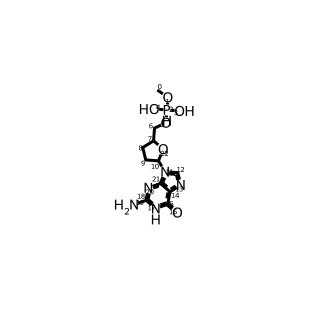 CO[PH](O)(O)OCC1CCC(n2cnc3c(=O)[nH]c(N)nc32)O1